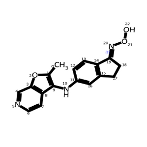 Cc1oc2cnccc2c1Nc1ccc2c(c1)CC/C2=N\OO